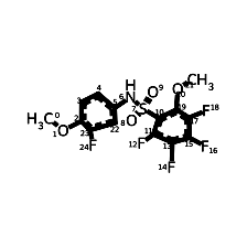 COc1ccc(NS(=O)(=O)c2c(F)c(F)c(F)c(F)c2OC)cc1F